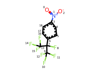 O=[N+]([O-])c1ccc(C(F)(C(F)(F)F)C(F)(F)F)cc1